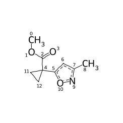 COC(=O)C1(c2cc(C)no2)CC1